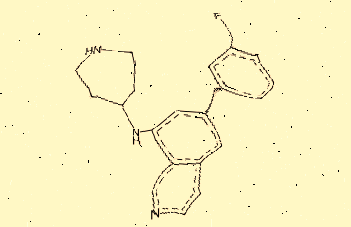 Fc1cccc(-c2cc(NC3CCNCC3)c3cnccc3c2)c1